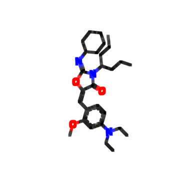 CCCC(CCC)N1C(=O)/C(=C\c2ccc(N(CC)CC)cc2OC)O/C1=N/C1CCCCC1